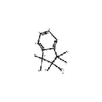 CCC1(C)C(C)(C)c2ccccc2C1(C)C